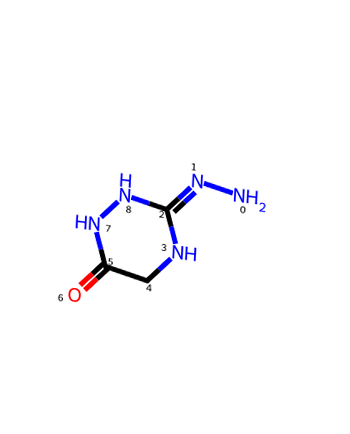 N/N=C1\NCC(=O)NN1